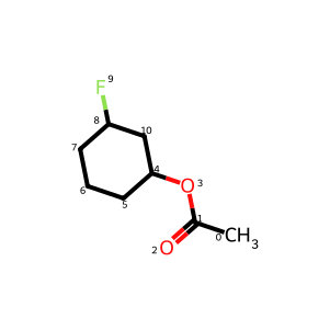 CC(=O)OC1CCCC(F)C1